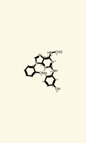 COc1ccccc1-n1cnc2c(NC=O)nc(Nc3cccc(O)c3)nc21